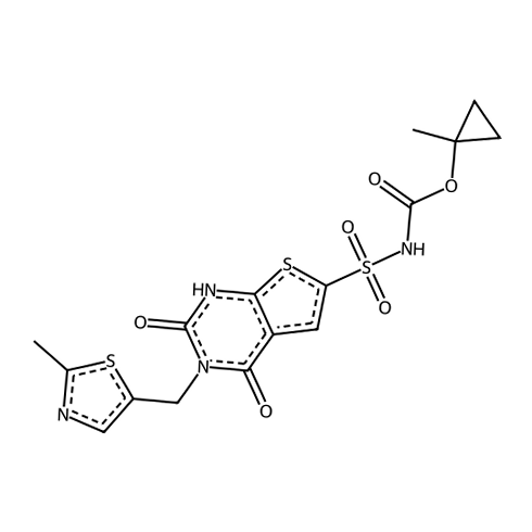 Cc1ncc(Cn2c(=O)[nH]c3sc(S(=O)(=O)NC(=O)OC4(C)CC4)cc3c2=O)s1